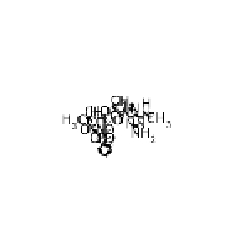 C=C[C@@]1(Cl)[C@H](O)[C@@H](CO[P@](=O)(N[C@@H](C)C(=O)OC(C)C)Oc2ccccc2)O[C@H]1n1cnc2c(NC)nc(N)nc21